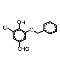 O=Cc1cc(Cl)c(O)c(OCc2ccccc2)c1